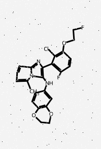 Cc1cccc2nc(-c3c(F)ccc(OCCF)c3Cl)c(Nc3ccc4c(c3)OCCO4)n12